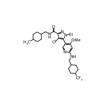 CCn1nc(C(=O)NCC2CCC(C)CC2)c(Cl)c1-c1cnc(NCC2CCC(C(F)(F)F)CC2)cc1OC